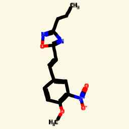 CCCc1noc(/C=C/c2ccc(OC)c([N+](=O)[O-])c2)n1